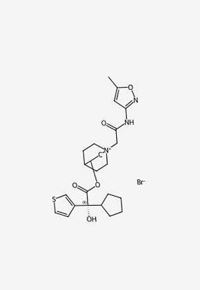 Cc1cc(NC(=O)C[N+]23CCC(CC2)C(OC(=O)[C@](O)(c2ccsc2)C2CCCC2)C3)no1.[Br-]